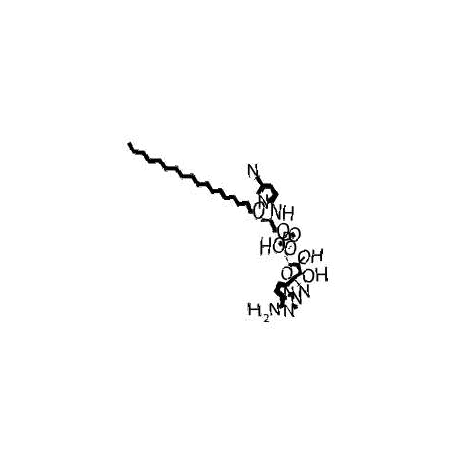 CCCCCCCCCCCCCCCCCCOC[C@H](COP(=O)(O)OC[C@H]1O[C@@](C#N)(c2ccc3c(N)ncnn23)[C@H](O)[C@@H]1O)Nc1ccc(C#N)cn1